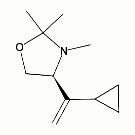 C=C(C1CC1)[C@H]1COC(C)(C)N1C